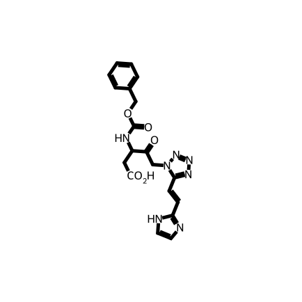 O=C(O)CC(NC(=O)OCc1ccccc1)C(=O)Cn1nnnc1C=Cc1ncc[nH]1